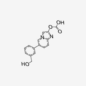 O=C(O)Oc1cn2cc(-c3cccc(CO)c3)ccc2n1